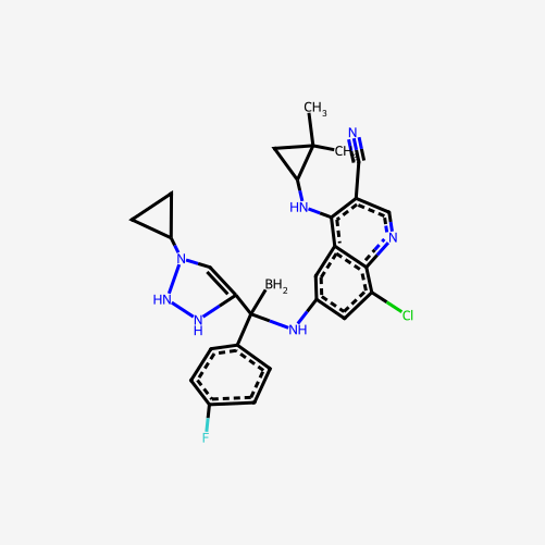 BC(Nc1cc(Cl)c2ncc(C#N)c(NC3CC3(C)C)c2c1)(C1=CN(C2CC2)NN1)c1ccc(F)cc1